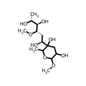 COC1OC(C)C(O)([C@@H](O)C[C@H](OC)[C@H](O)[C@@H](C)O)CC1O